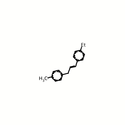 CCc1ccc(C=CCc2ccc(C)cc2)cc1